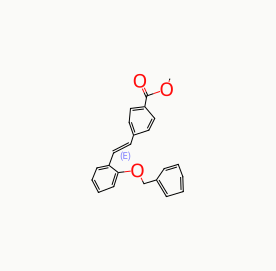 COC(=O)c1ccc(/C=C/c2ccccc2OCc2ccccc2)cc1